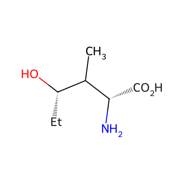 CC[C@H](O)C(C)[C@@H](N)C(=O)O